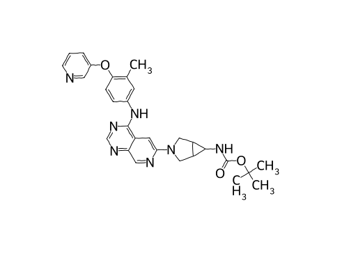 Cc1cc(Nc2ncnc3cnc(N4CC5C(C4)C5NC(=O)OC(C)(C)C)cc23)ccc1Oc1cccnc1